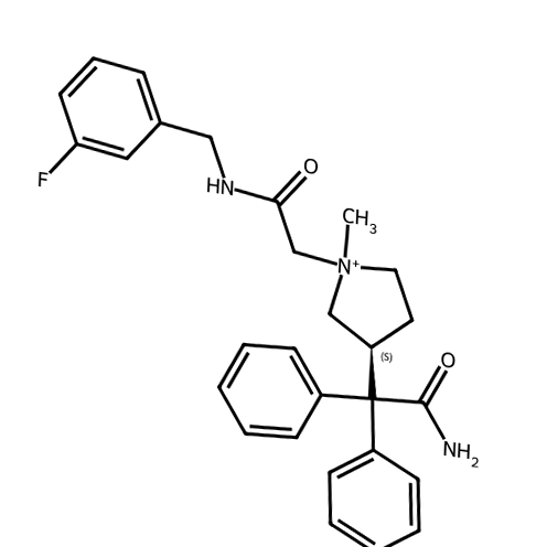 C[N+]1(CC(=O)NCc2cccc(F)c2)CC[C@@H](C(C(N)=O)(c2ccccc2)c2ccccc2)C1